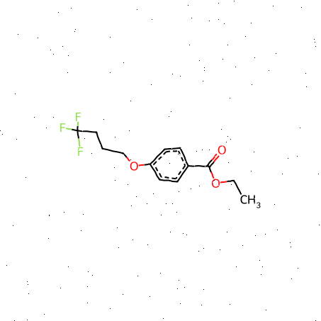 CCOC(=O)c1ccc(OCCCC(F)(F)F)cc1